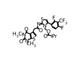 CC(C)C(=O)OCn1c(-c2ccc(F)c(C(F)(F)F)c2F)csc1=NC(=O)Cc1csc2c1c(=O)n(C)c(=O)n2C